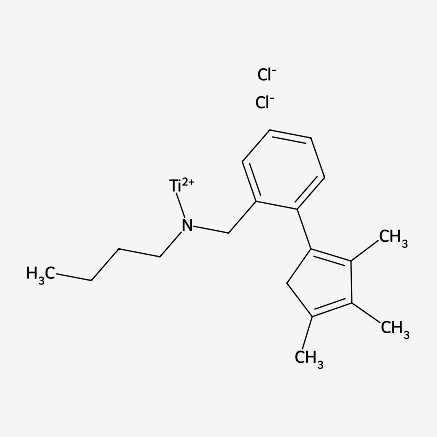 CCCC[N]([Ti+2])Cc1ccccc1C1=C(C)C(C)=C(C)C1.[Cl-].[Cl-]